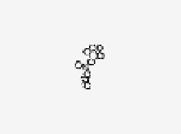 c1ccc(N(c2ccc3c(c2)-c2cccc4ccc5oc6cccc-3c6c5c24)c2ccc3c(c2)sc2ccccc23)cc1